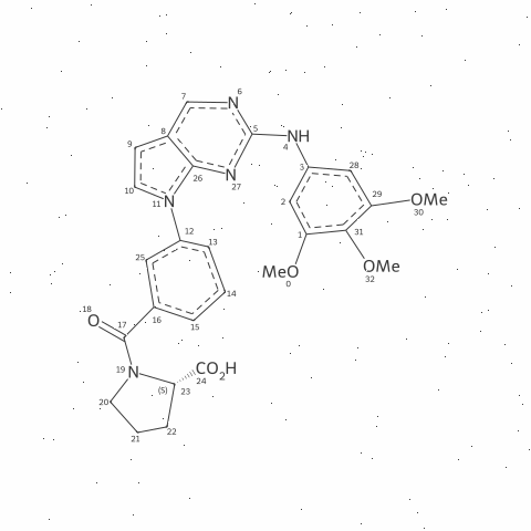 COc1cc(Nc2ncc3ccn(-c4cccc(C(=O)N5CCC[C@H]5C(=O)O)c4)c3n2)cc(OC)c1OC